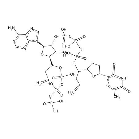 C=CCC(OP(=O)(O)OP(=O)(O)OP(=O)(O)O[C@@H]1[C@H](O)[C@@H](C(CC=C)OP(=O)(O)OP(=O)(O)OP(=O)(O)O)O[C@H]1n1cnc2c(N)ncnc21)[C@@H]1CC[C@H](n2cc(C)c(=O)[nH]c2=O)O1